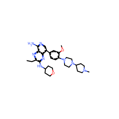 CCc1nc2c(N)ncc(-c3ccc(N4CCN(C5CCN(C)CC5)CC4)c(OC)c3)c2nc1NC1CCOCC1